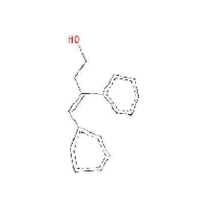 O[CH]CC(=Cc1ccccc1)c1ccccc1